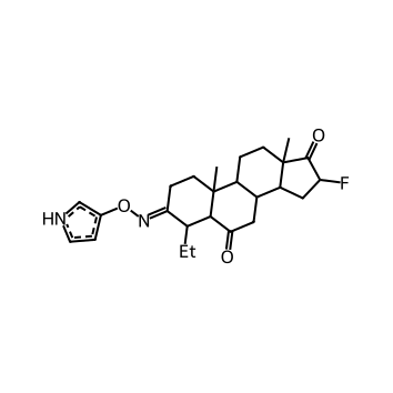 CCC1/C(=N/Oc2cc[nH]c2)CCC2(C)C3CCC4(C)C(=O)C(F)CC4C3CC(=O)C12